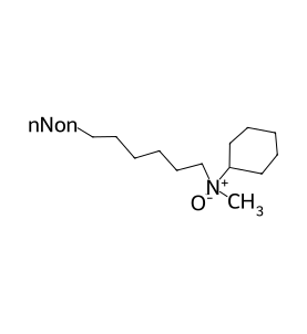 CCCCCCCCCCCCCCC[N+](C)([O-])C1CCCCC1